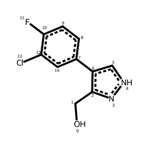 OCc1n[nH]cc1-c1ccc(F)c(Cl)c1